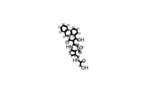 O=C(CO)NCc1csc2c1S(=O)(=O)N=C(c1c(O)c3ccccc3n(Cc3ccccc3)c1=O)N2